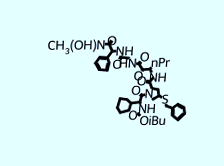 CCCC(NC(=O)C1CC(SCc2ccccc2)CN1C(=O)C(NC(=O)OCC(C)C)C1CCCCC1)C(=O)C(=O)NCC(=O)NC(C(=O)N(C)O)c1ccccc1